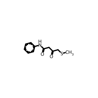 CSCC(=O)CC(=O)Nc1ccccc1